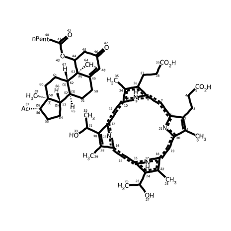 CC1=C(CCC(=O)O)c2cc3[nH]c(cc4nc(cc5[nH]c(cc1n2)c(C)c5C(C)O)C(C)=C4C(C)O)c(C)c3CCC(=O)O.CCCCCC(=O)OC1CC(=O)C=C2CC[C@H]3[C@@H]4CC[C@H](C(C)=O)[C@@]4(C)CC[C@@H]3[C@]21C